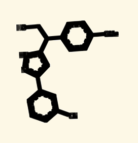 COc1ccc(C(CO)c2cc(-c3cccc(C#N)c3)n[nH]2)cc1